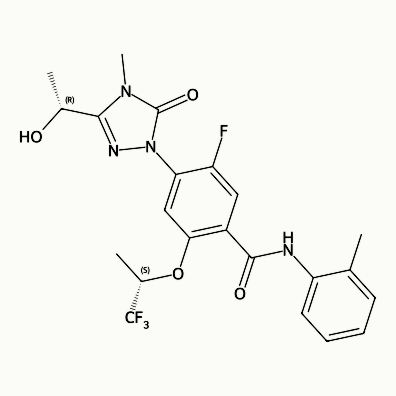 Cc1ccccc1NC(=O)c1cc(F)c(-n2nc([C@@H](C)O)n(C)c2=O)cc1O[C@@H](C)C(F)(F)F